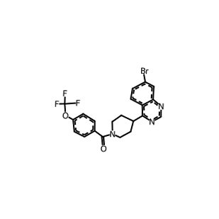 O=C(c1ccc(OC(F)(F)F)cc1)N1CCC(c2ncnc3cc(Br)ccc23)CC1